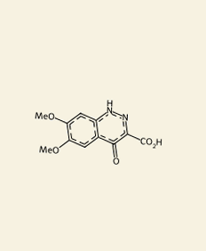 COc1cc2[nH]nc(C(=O)O)c(=O)c2cc1OC